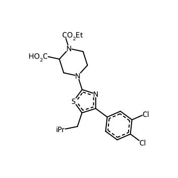 CCOC(=O)N1CCN(c2nc(-c3ccc(Cl)c(Cl)c3)c(CC(C)C)s2)CC1C(=O)O